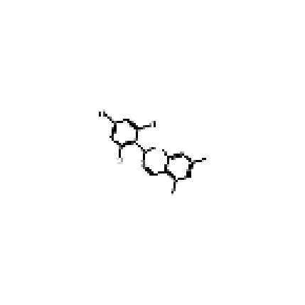 Cc1cc(C)c(/C=N\C(C)c2c(Cl)cc(Cl)cc2Cl)c(C)c1